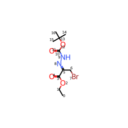 CCOC(=O)/C(CBr)=N/NC(=O)OC(C)(C)C